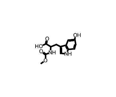 COC(=O)NC(Cc1c[nH]c2ccc(O)cc12)C(=O)O